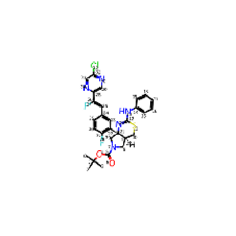 CC(C)(C)OC(=O)N1C[C@@H]2CSC(Nc3ccccc3)=N[C@@]2(c2cc(/C=C(\F)c3cnc(Cl)cn3)ccc2F)C1